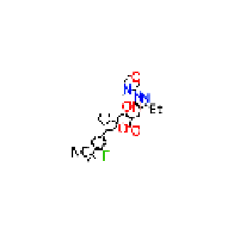 CCc1nn(C2COCCN2C)cc1CC1=C(O)CC(CCc2ccc(C(C)(C)C#N)c(F)c2)(C2CCCC2)OC1=O